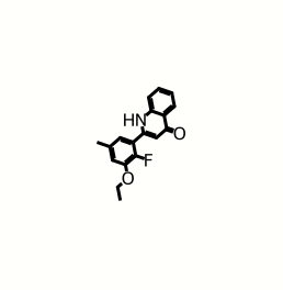 CCOc1cc(C)cc(-c2cc(=O)c3ccccc3[nH]2)c1F